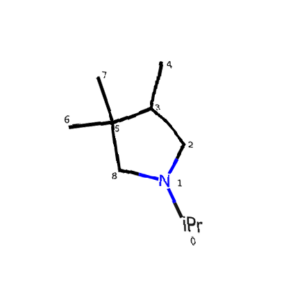 CC(C)N1CC(C)C(C)(C)C1